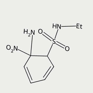 CCNS(=O)(=O)C1C=CC=CC1(N)[N+](=O)[O-]